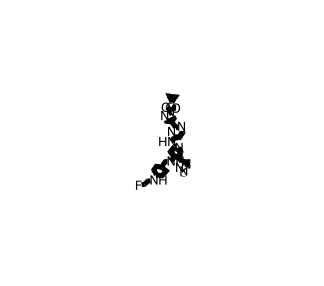 Cn1ccc(-c2cnc(Nc3ccnc(-c4cnn(S(=O)(=O)C5CC5)c4)n3)cc2NCC2CCC(NCCF)CC2)n1